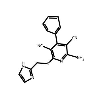 N#Cc1c(N)nc(SCc2ncc[nH]2)c(C#N)c1-c1ccccc1